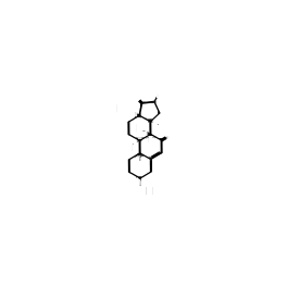 C[C@H]1CC[C@@]2(C)C(=CC(=O)[C@@H]3[C@@H]2CC[C@]2(C)C(=O)C(O)C[C@@H]32)C1